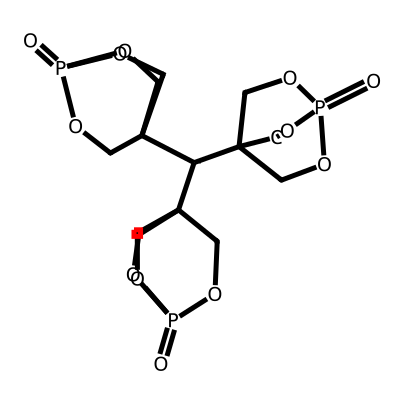 O=P12OCC([C](C34COP(=O)(OC3)OC4)C34COP(=O)(OC3)OC4)(CO1)CO2